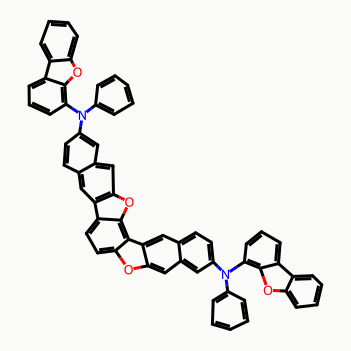 c1ccc(N(c2ccc3cc4c(cc3c2)oc2c4ccc3oc4cc5cc(N(c6ccccc6)c6cccc7c6oc6ccccc67)ccc5cc4c32)c2cccc3c2oc2ccccc23)cc1